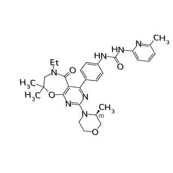 CCN1CC(C)(C)Oc2nc(N3CCOC[C@@H]3C)nc(-c3ccc(NC(=O)Nc4cccc(C)n4)cc3)c2C1=O